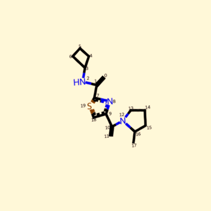 C=C(NC1CCC1)c1nc(C(=C)N2CCCC2C)cs1